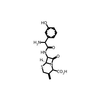 C=C1CS[C@H]2C(NC(=O)C(N)c3cccc(O)c3)C(=O)N2C1C(=O)O